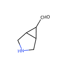 O=CC1C2CNCC12